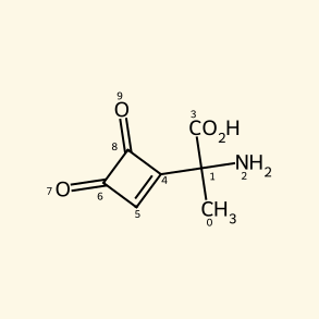 CC(N)(C(=O)O)c1cc(=O)c1=O